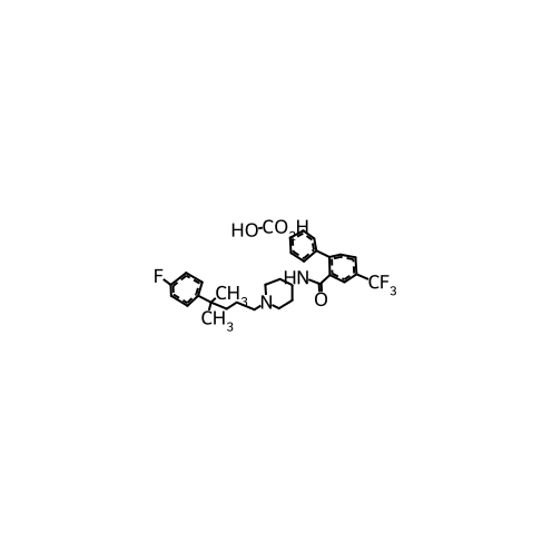 CC(C)(CCCN1CCC(NC(=O)c2cc(C(F)(F)F)ccc2-c2ccccc2)CC1)c1ccc(F)cc1.O=C(O)O